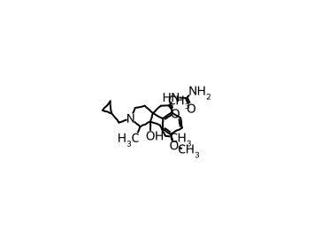 CCCC1(O)C(C)N(CC2CC2)CCC1(CC(=O)NC(N)=O)c1cc(OC)ccc1C